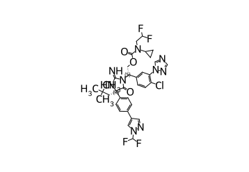 CC(C)(C)C[C@]1(c2ccc(-c3cnn(C(F)F)c3)cc2)NC(=N)N([C@H](COC(=O)N(CC(F)F)C2CC2)c2ccc(Cl)c(-n3cncn3)c2)C1=O